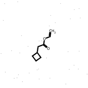 C=COC(=O)CC1CCC1